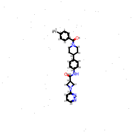 CC(C)c1ccc(C(=O)N2CCC(c3ccc(NC(=O)C4CN(c5cccnn5)C4)cc3)CC2)cc1